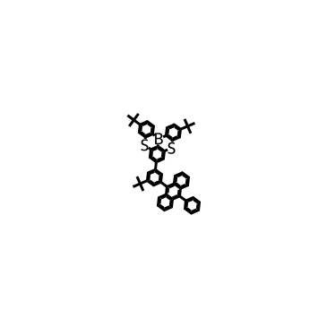 CC(C)(C)c1cc(-c2cc3c4c(c2)Sc2cc(C(C)(C)C)ccc2B4c2ccc(C(C)(C)C)cc2S3)cc(-c2c3ccccc3c(-c3ccccc3)c3ccccc23)c1